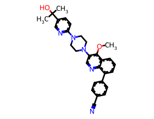 COc1c(N2CCN(c3ccc(C(C)(C)O)cn3)CC2)cnc2c(-c3ccc(C#N)cc3)cccc12